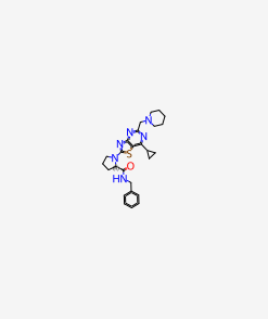 O=C(NCc1ccccc1)[C@H]1CCCN1c1nc2nc(CN3CCCCC3)nc(C3CC3)c2s1